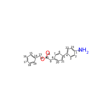 Nc1ccc(-c2ccc(CC(=O)OCc3ccccc3)cc2)cc1